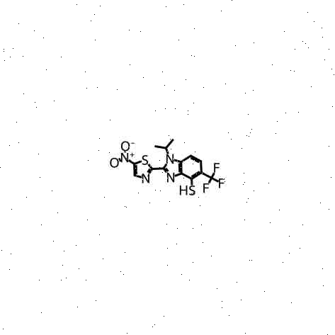 CC(C)n1c(-c2ncc([N+](=O)[O-])s2)nc2c(S)c(C(F)(F)F)ccc21